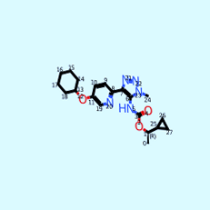 C[C@@H](OC(=O)Nc1c(-c2ccc(OC3CCCCC3)cn2)nnn1C)C1CC1